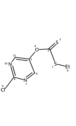 CCSC(=S)Oc1cnc(Cl)nc1